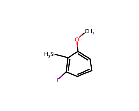 COc1cccc(I)c1[SiH3]